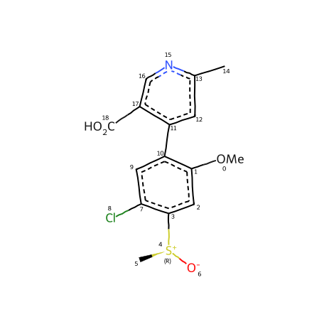 COc1cc([S@+](C)[O-])c(Cl)cc1-c1cc(C)ncc1C(=O)O